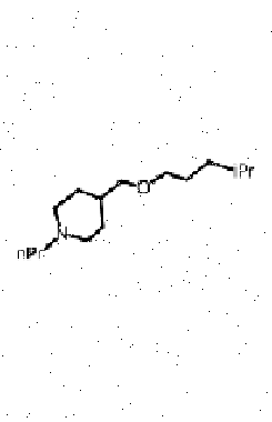 CCCN1CCC(COCCCC(C)C)CC1